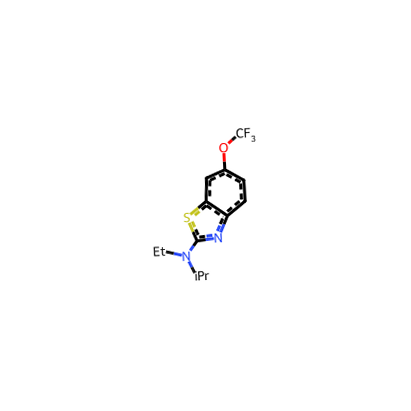 CCN(c1nc2ccc(OC(F)(F)F)cc2s1)C(C)C